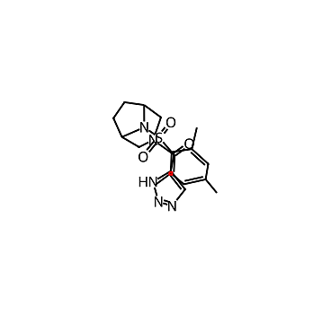 Cc1cc(C)c(S(=O)(=O)N2C3CCC2CN(C(=O)c2cnn[nH]2)C3)c(C)c1